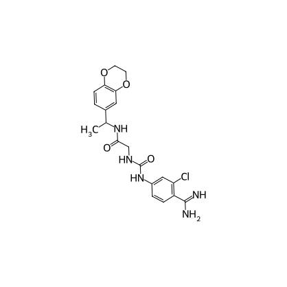 CC(NC(=O)CNC(=O)Nc1ccc(C(=N)N)c(Cl)c1)c1ccc2c(c1)OCCO2